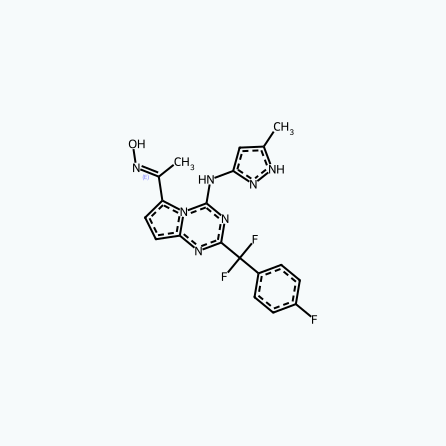 C/C(=N\O)c1ccc2nc(C(F)(F)c3ccc(F)cc3)nc(Nc3cc(C)[nH]n3)n12